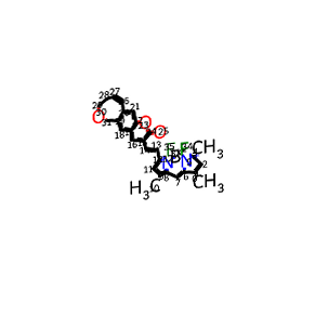 CC1=CC(C)=[N+]2C1=Cc1c(C)cc(/C=C/c3cc4cc5c(cc4oc3=O)C#CCCOC5)n1[B-]2(F)F